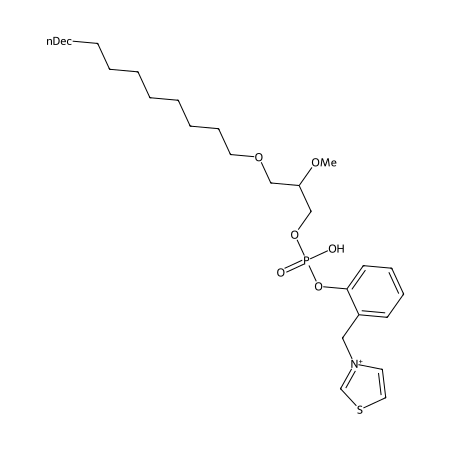 CCCCCCCCCCCCCCCCCCOCC(COP(=O)(O)Oc1ccccc1C[n+]1ccsc1)OC